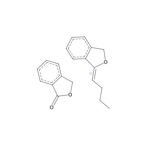 CCC/C=C1\OCc2ccccc21.O=C1OCc2ccccc21